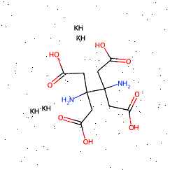 NC(CC(=O)O)(CC(=O)O)C(N)(CC(=O)O)CC(=O)O.[KH].[KH].[KH].[KH]